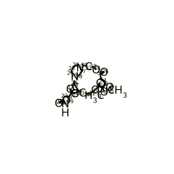 COc1cc2cc(c1OC)OCCCC(OC(=O)C1CNC(=O)C1)CCN1CCCN(CCCOC2=O)CC1